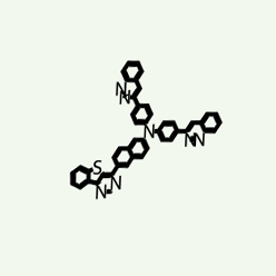 c1ccc2nnc(-c3ccc(N(c4ccc(-c5cc6ccccc6nn5)cc4)c4ccc5cc(-c6ncnc7c6sc6ccccc67)ccc5c4)cc3)cc2c1